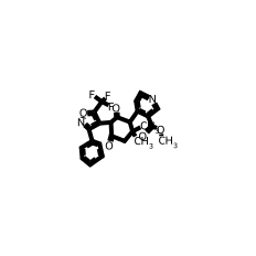 COC(=O)c1cnccc1C1C(=O)C(c2c(-c3ccccc3)noc2C(F)(F)F)C(=O)CC1(C)C